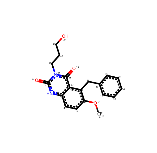 O=c1[nH]c2ccc(OC(F)(F)F)c(Cc3ccccc3)c2c(=O)n1CCCO